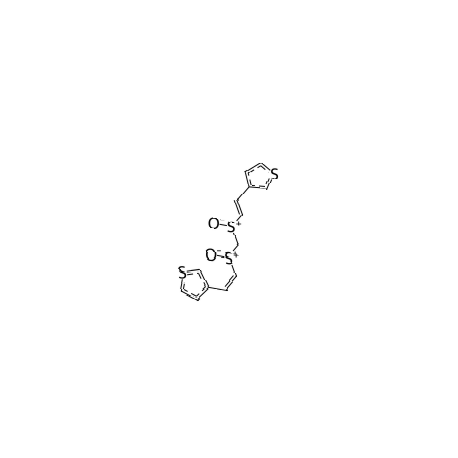 [O-][S+](/C=C\c1ccsc1)C[S+]([O-])/C=C/c1ccsc1